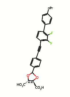 CCCc1ccc(-c2ccc(C#Cc3ccc(C4O[C@@H](C(=O)O)[C@H](C(=O)O)O4)cc3)c(F)c2F)cc1